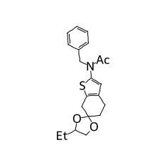 CCC1COC2(CCc3cc(N(Cc4ccccc4)C(C)=O)sc3C2)O1